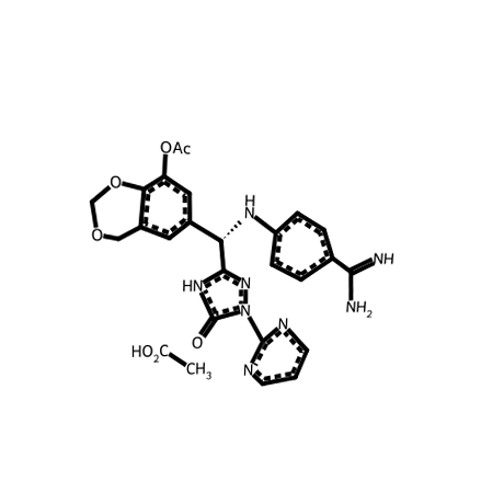 CC(=O)O.CC(=O)Oc1cc([C@H](Nc2ccc(C(=N)N)cc2)c2nn(-c3ncccn3)c(=O)[nH]2)cc2c1OCOC2